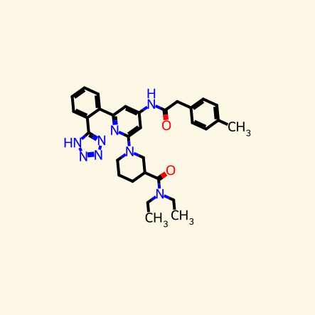 CCN(CC)C(=O)C1CCCN(c2cc(NC(=O)Cc3ccc(C)cc3)cc(-c3ccccc3-c3nnn[nH]3)n2)C1